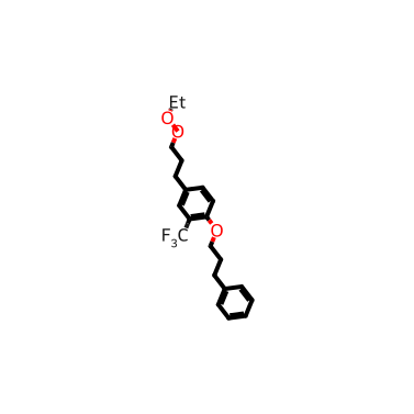 CCOOCCCc1ccc(OCCCc2ccccc2)c(C(F)(F)F)c1